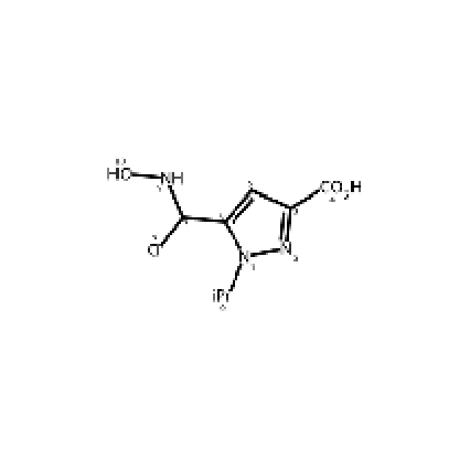 CC(C)n1nc(C(=O)O)cc1C(Cl)NO